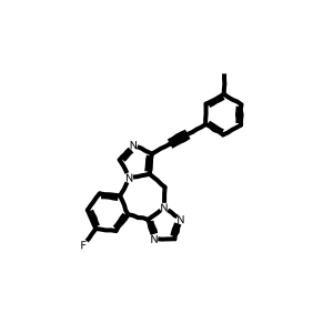 Cc1cccc(C#Cc2ncn3c2Cn2ncnc2-c2cc(F)ccc2-3)c1